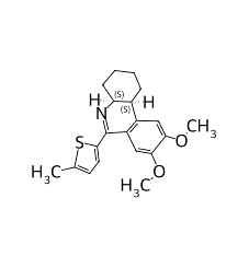 COc1cc2c(cc1OC)[C@@H]1CCCC[C@@H]1N=C2c1ccc(C)s1